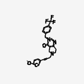 COc1ccc(C#CCN2CCc3ncn(Cc4ccc(C(F)(F)F)cc4)c(=O)c3C2)cc1